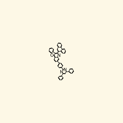 c1ccc(-c2cc(-c3ccccc3)nc(-c3ccc(-c4ccc5c(c4)nc(-c4cc6ccccc6c6ccccc46)c4c6ccccc6oc54)cc3)n2)cc1